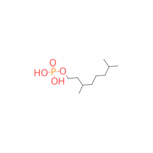 CC(C)CCCC(C)CCOP(=O)(O)O